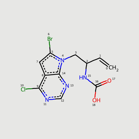 C=CC(Cn1c(Br)cc2c(Cl)ncnc21)NC(=O)O